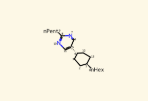 CCCCCC[C@H]1CC[C@H](c2cnc(CCCCC)nc2)CC1